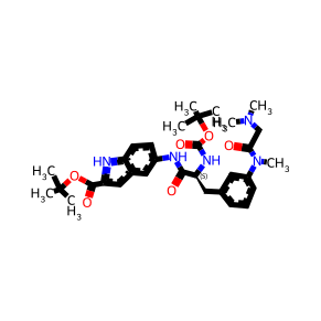 CN(C)CC(=O)N(C)c1cccc(C[C@H](NC(=O)OC(C)(C)C)C(=O)Nc2ccc3[nH]c(C(=O)OC(C)(C)C)cc3c2)c1